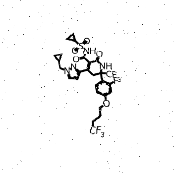 O=C1NC(c2ccc(OCCCC(F)(F)F)cc2F)(C(F)(F)F)CC(c2ccn(CC3CC3)n2)=C1C(=O)NS(=O)(=O)C1CC1